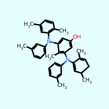 CC1=CCC(C)C=C1N(c1cccc(C)c1)c1cc(O)cc(N(c2cccc(C)c2)c2cc(C)ccc2C)c1C